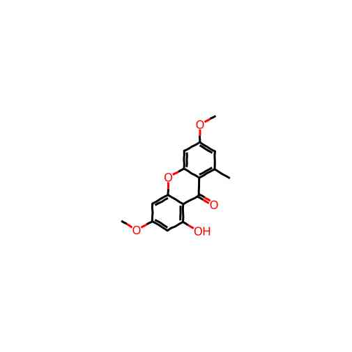 COc1cc(C)c2c(=O)c3c(O)cc(OC)cc3oc2c1